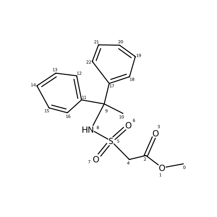 COC(=O)CS(=O)(=O)NC(C)(c1ccccc1)c1ccccc1